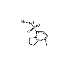 Cc1ccc(S(=O)(=O)NC(C)(C)C)c2c1CCC2